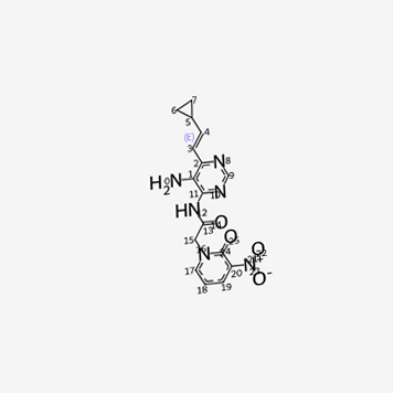 Nc1c(/C=C/C2CC2)ncnc1NC(=O)Cn1cccc([N+](=O)[O-])c1=O